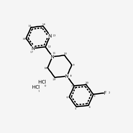 Cl.Cl.Fc1cccc(N2CCN(c3ncccn3)CC2)c1